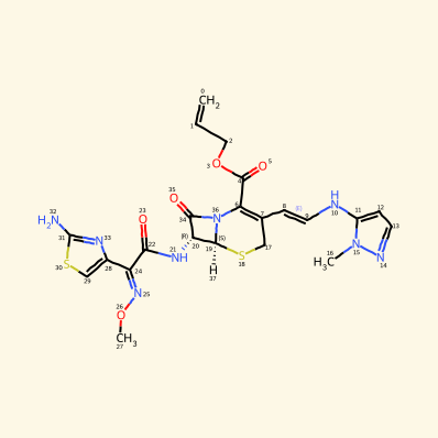 C=CCOC(=O)C1=C(/C=C/Nc2ccnn2C)CS[C@H]2[C@H](NC(=O)C(=NOC)c3csc(N)n3)C(=O)N12